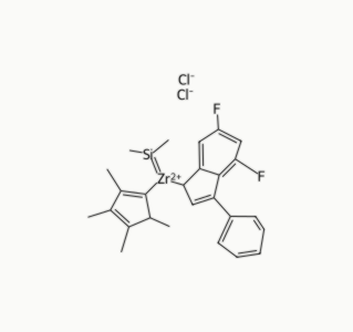 CC1=C(C)C(C)[C]([Zr+2]([CH]2C=C(c3ccccc3)c3c(F)cc(F)cc32)=[Si](C)C)=C1C.[Cl-].[Cl-]